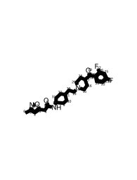 Cc1cc(CC(=O)NC2CCC(CCN3CCC(C(=O)c4ccc(F)cc4F)CC3)CC2)on1